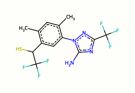 Cc1cc(C)c(-n2nc(C(F)(F)F)nc2N)cc1C(S)C(F)(F)F